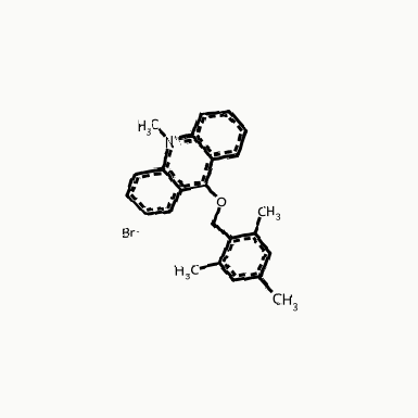 Cc1cc(C)c(COc2c3ccccc3[n+](C)c3ccccc23)c(C)c1.[Br-]